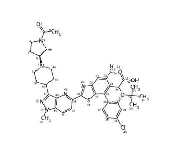 CC(=O)N1CC[C@H](N2CCC(c3nn(C)c4ccc(-c5nc6cc(C)c(C(OC(C)(C)C)C(=O)O)c(-c7ccc(Cl)cc7)c6s5)nc34)CC2)C1